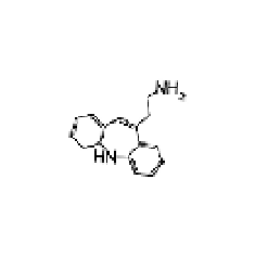 NCCC1=CC2=CC=CCC2Nc2ccccc21